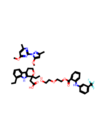 CCc1cccc2c3c([nH]c12)C(CC)(CC(=O)O)OCC3.COc1cc(C)nc(-n2nc(C)cc2OC)n1.O=C(OCCOCCO)c1ccccc1Nc1cccc(C(F)(F)F)c1